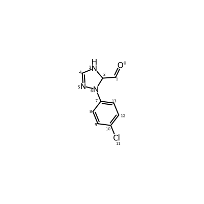 O=CC1NC=NN1c1ccc(Cl)cc1